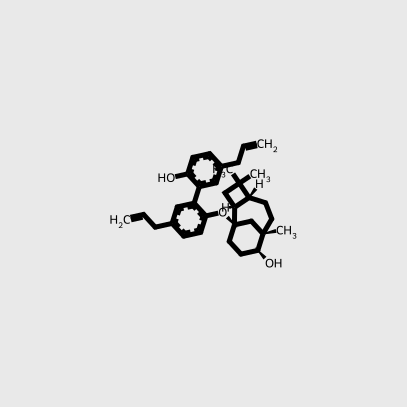 C=CCc1ccc(O)c(-c2cc(CC=C)ccc2O[C@@]23CC[C@H](O)[C@@](C)(CC[C@@H]4[C@@H]2CC4(C)C)C3)c1